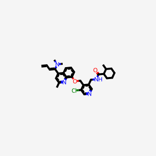 C=C/C=C(/c1cc(C)nc2c(OCc3c(Cl)cncc3CNC(=O)C3CCCCC3C)cccc12)N(C)C